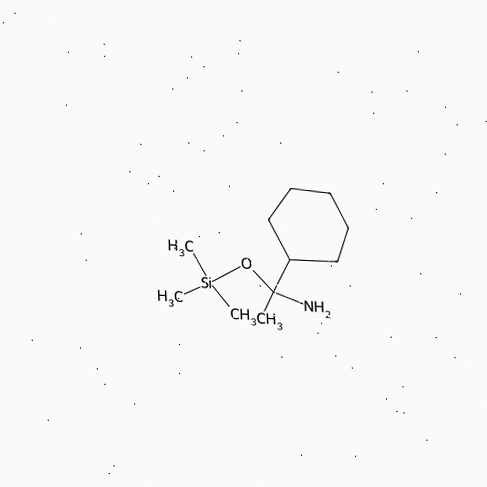 CC(N)(O[Si](C)(C)C)C1CCCCC1